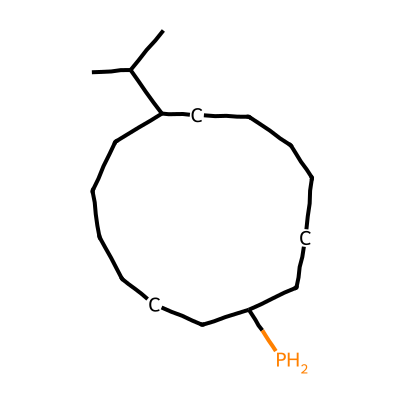 CC(C)C1CCCCCCC(P)CCCCCC1